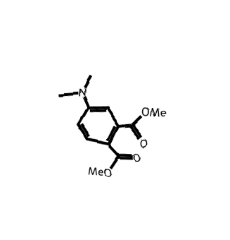 COC(=O)c1ccc(N(C)C)cc1C(=O)OC